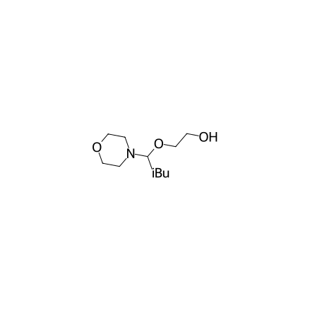 CCC(C)C(OCCO)N1CCOCC1